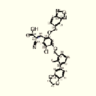 Cc1c(COc2cc(OCc3ccc4nonc4c3)c(/C=C(\C#N)C(=O)O)cc2Cl)cccc1-c1ccc2c(c1)OCCO2